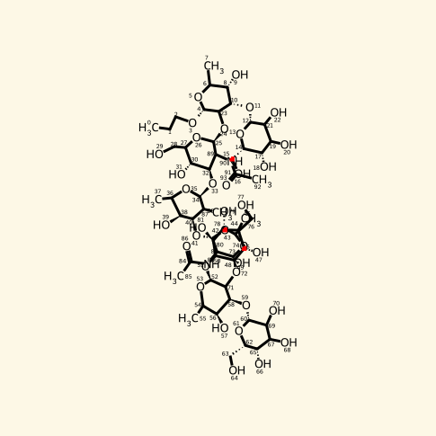 CCCO[C@@H]1OC(C)[C@H](O)[C@H](O[C@H]2O[C@@H](CO)[C@@H](O)C(O)C2O)C1O[C@@H]1OC(CO)[C@@H](O)[C@H](O[C@@H]2OC(C)[C@H](O)[C@H](O[C@@H]3OC(C)[C@H](O)[C@H](O)C3O[C@@H]3OC(C)[C@H](O)[C@H](O[C@H]4O[C@@H](CO)[C@@H](O)C(O)C4O)C3O[C@@H]3OC(CO)[C@@H](O)[C@H](O)C3NC(C)=O)C2C)C1NC(C)=O